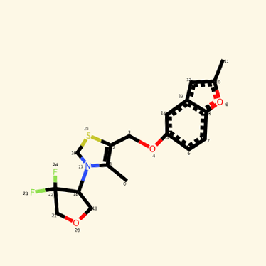 CC1=C(COc2ccc3oc(C)cc3c2)SCN1C1COCC1(F)F